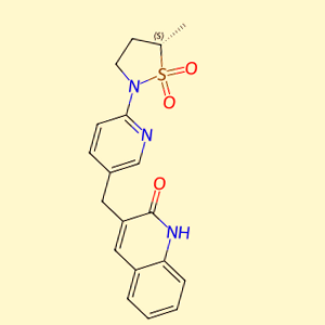 C[C@H]1CCN(c2ccc(Cc3cc4ccccc4[nH]c3=O)cn2)S1(=O)=O